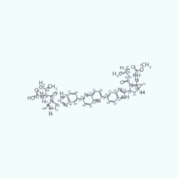 COC(=O)N[C@H](C(=O)N1[C@@H]2C[C@H]2C[C@H]1c1nc2cc(-c3ccc4nc(-c5ccc6[nH]c([C@@H]7C[C@H]8C[C@H]8N7C(=O)[C@@H](NC(=O)O)C(C)C)nc6c5)ccc4n3)ccc2[nH]1)C(C)C